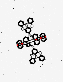 c1ccc(-c2ccc3c(c2)S2(c4cc(-c5ccccc5)ccc4N3c3cc4c5c(c3)Oc3ccccc3B5c3ccccc3O4)c3cc(-c4ccccc4)ccc3N(c3cc4c5c(c3)Sc3ccccc3B5c3ccccc3O4)c3ccc(-c4ccccc4)cc32)cc1